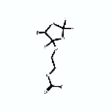 O=C(F)OCCOC1(F)OC(F)(F)OC1F